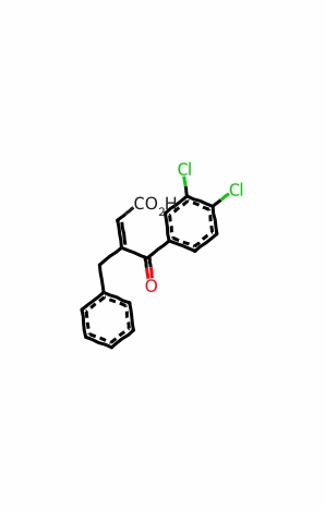 O=C(O)C=C(Cc1ccccc1)C(=O)c1ccc(Cl)c(Cl)c1